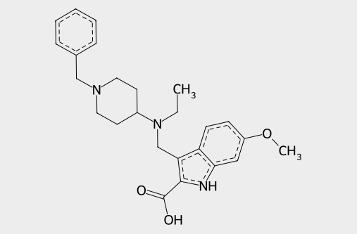 CCN(Cc1c(C(=O)O)[nH]c2cc(OC)ccc12)C1CCN(Cc2ccccc2)CC1